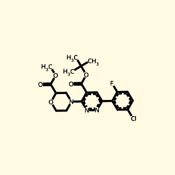 COC(=O)C1CN(c2nnc(-c3cc(Cl)ccc3F)cc2C(=O)OC(C)(C)C)CCO1